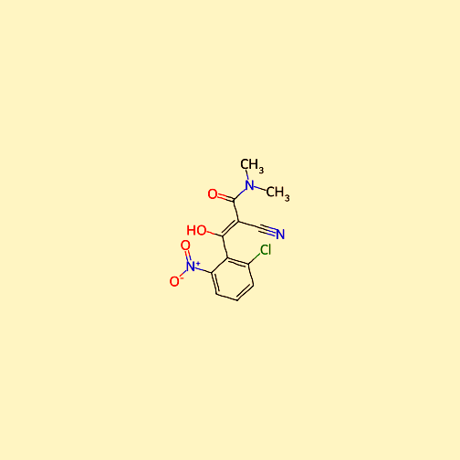 CN(C)C(=O)/C(C#N)=C(\O)c1c(Cl)cccc1[N+](=O)[O-]